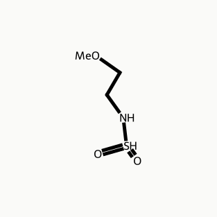 COCCN[SH](=O)=O